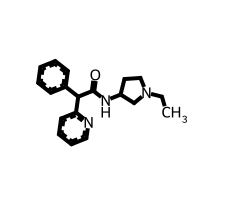 CCN1CCC(NC(=O)C(c2ccccc2)c2ccccn2)C1